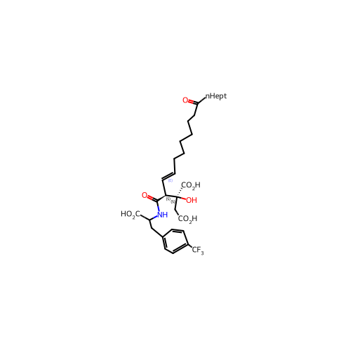 CCCCCCCC(=O)CCCCCC/C=C/[C@H](C(=O)NC(Cc1ccc(C(F)(F)F)cc1)C(=O)O)[C@@](O)(CC(=O)O)C(=O)O